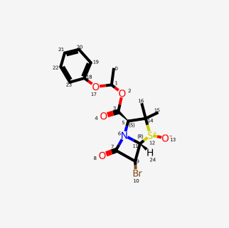 CC(OC(=O)[C@@H]1N2C(=O)C(Br)[C@H]2[S+]([O-])C1(C)C)Oc1ccccc1